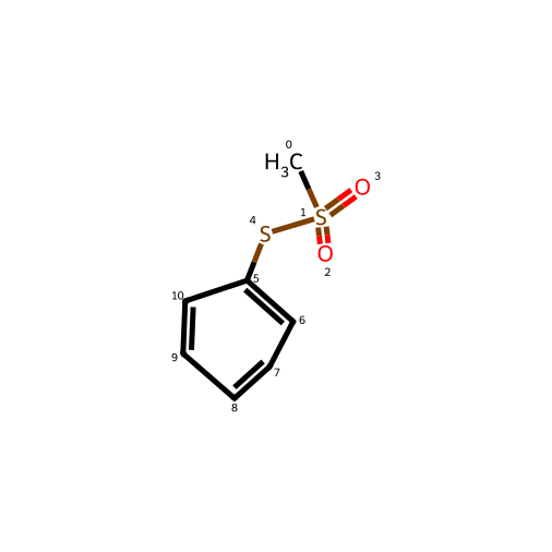 CS(=O)(=O)Sc1ccccc1